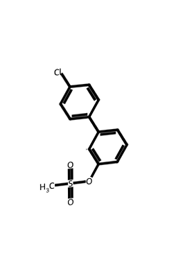 CS(=O)(=O)Oc1[c]c(-c2ccc(Cl)cc2)ccc1